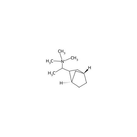 CC(C1C[C@@H]2CC[C@@H]1C2)[N+](C)(C)C